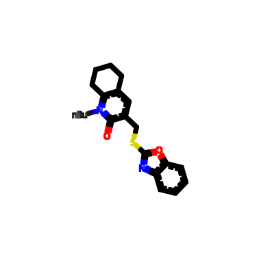 CCCCn1c2c(cc(CSc3nc4ccccc4o3)c1=O)CCCC2